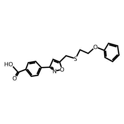 O=C(O)c1ccc(-c2cc(CSCCOc3ccccc3)on2)cc1